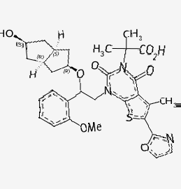 COc1ccccc1C(Cn1c(=O)n(C(C)(C)C(=O)O)c(=O)c2c(C)c(-c3ncco3)sc21)O[C@H]1C[C@H]2C[C@@H](O)C[C@H]2C1